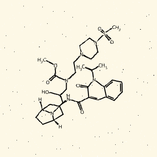 COC(=O)N(CCN1CCN(S(C)(=O)=O)CC1)CC(O)CN1[C@@H]2CC[C@H]1C[C@H](NC(=O)c1cc3ccccc3n(C(C)C)c1=O)C2